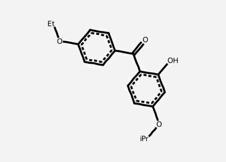 CCOc1ccc(C(=O)c2ccc(OC(C)C)cc2O)cc1